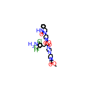 CCOC(=O)C(C)(C)N1CCC(N2CCN(C(=O)C(Cc3cc(Cl)c(N)c(C(F)(F)F)c3)OC(=O)N3CCC(N4CCc5ccccc5NC4=O)CC3)CC2)CC1